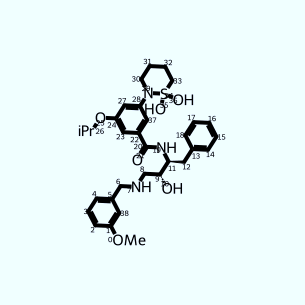 COc1cccc(CNC[C@@H](O)[C@H](Cc2ccccc2)NC(=O)c2cc(OC(C)C)cc(N3CCCCS3(O)O)c2)c1